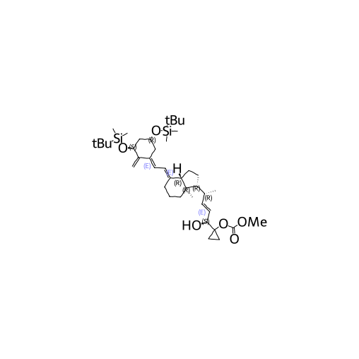 C=C1/C(=C/C=C2\CCC[C@]3(C)[C@@H]([C@H](C)/C=C/[C@H](O)C4(OC(=O)OC)CC4)CC[C@@H]23)C[C@@H](O[Si](C)(C)C(C)(C)C)C[C@@H]1O[Si](C)(C)C(C)(C)C